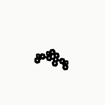 c1ccc2c(c1)oc1ccc(-c3c4ccccc4c(-c4ccc(-c5ccc6oc7ccccc7c6c5)c5oc6ccccc6c45)c4ccccc34)cc12